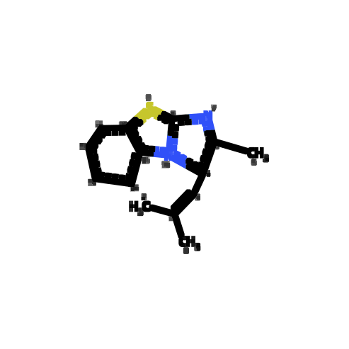 CC(C)=Cc1c(C)nc2sc3ccccc3n12